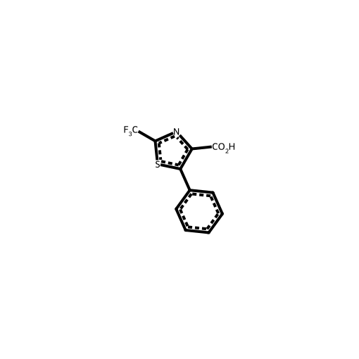 O=C(O)c1nc(C(F)(F)F)sc1-c1ccccc1